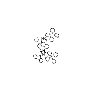 c1ccc(-c2nc(-c3cccc([Si](c4ccccc4)(c4ccccc4)c4ccccc4)c3)nc(-c3ccccc3-c3ccccc3-c3nc(-c4cccc([Si](c5ccccc5)(c5ccccc5)c5ccccc5)c4)nc(-n4c5ccccc5c5ccccc54)n3)n2)cc1